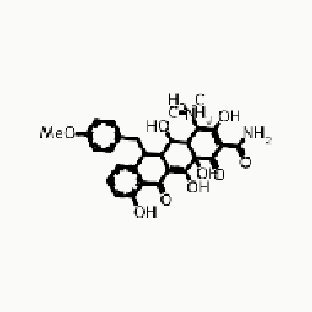 COc1ccc(CC2c3cccc(O)c3C(=O)C3=C(O)C4(O)C(=O)C(C(N)=O)=C(O)C(N(C)C)C4C(O)C32)cc1